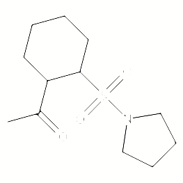 CC(=O)C1CCCCC1S(=O)(=O)N1CCCC1